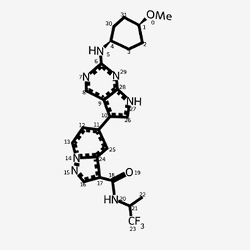 CO[C@H]1CC[C@@H](Nc2ncc3c(-c4ccn5ncc(C(=O)NC(C)C(F)(F)F)c5c4)c[nH]c3n2)CC1